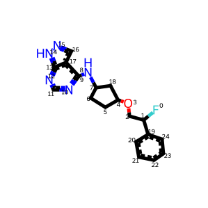 FC(COC1CCC(Nc2ncnc3[nH]ncc23)C1)c1ccccc1